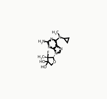 CN(c1nc(N)nc2c1ncn2[C@@H]1OCC(O)(O)[C@]1(C)F)C1CC1